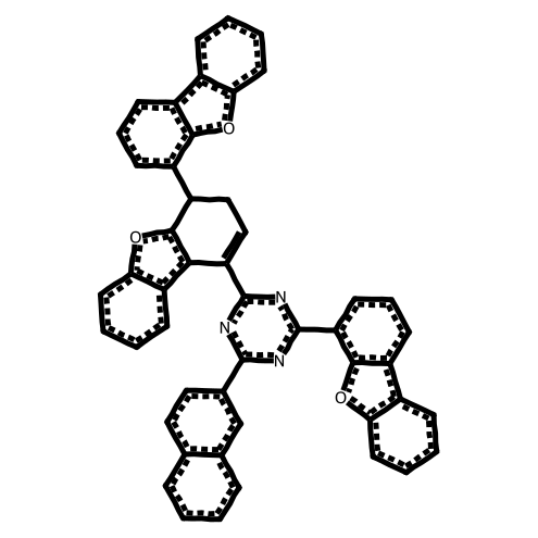 C1=C(c2nc(-c3ccc4ccccc4c3)nc(-c3cccc4c3oc3ccccc34)n2)c2c(oc3ccccc23)C(c2cccc3c2oc2ccccc23)C1